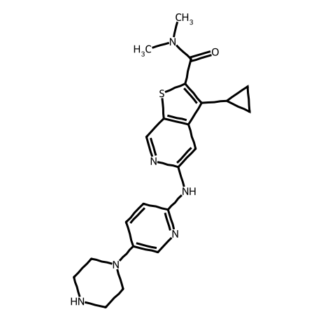 CN(C)C(=O)c1sc2cnc(Nc3ccc(N4CCNCC4)cn3)cc2c1C1CC1